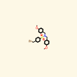 COc1ccc(CN(Cc2ccc(OC)cc2)S(=O)(=O)c2ccc(CBr)cc2)cc1